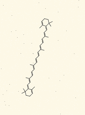 CC1=CCCC(C)(C)/C1=C/C=C(C)/C=C/C=C(C)/C=C/C=C/C(C)=C/C=C/C(C)=C/C=C1\C(C)=CCCC1(C)C